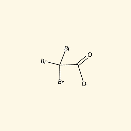 [O]C(=O)C(Br)(Br)Br